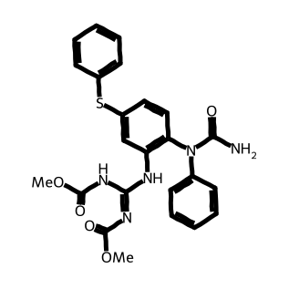 COC(=O)N=C(NC(=O)OC)Nc1cc(Sc2ccccc2)ccc1N(C(N)=O)c1ccccc1